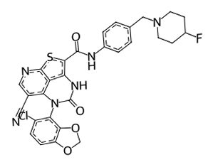 N#Cc1cnc2sc(C(=O)Nc3ccc(CN4CCC(F)CC4)cc3)c3c2c1N(c1c(Cl)ccc2c1OCO2)C(=O)N3